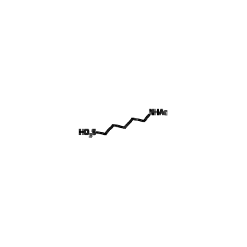 CC(=O)NCCCCCS(=O)(=O)O